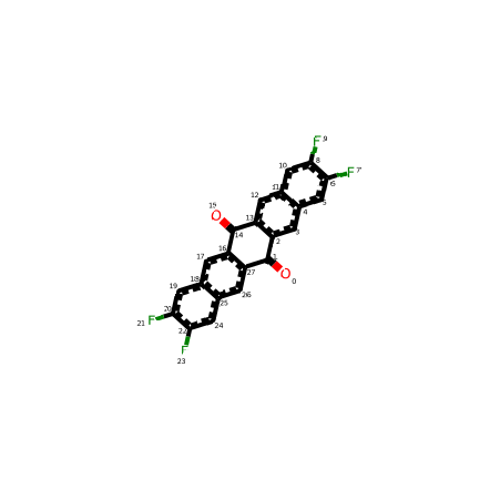 O=C1c2cc3cc(F)c(F)cc3cc2C(=O)c2cc3cc(F)c(F)cc3cc21